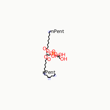 CCCCC/C=C\C/C=C\C/C=C\CCCCCCC(=O)O[C@H](COC(=O)CCCCCCC/C=C\CCCCC)COP(=O)(O)OC[C@@H](O)CO